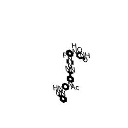 CC(=O)N(c1ccc(-c2cnc(N3CCN(c4cc(NC5CCC(=O)NC5=O)ccc4F)CC3)nc2)cc1)C1CCC(Nc2ncc3ccccc3n2)CC1